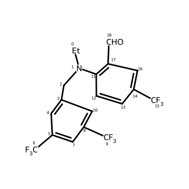 CCN(Cc1cc(C(F)(F)F)cc(C(F)(F)F)c1)c1ccc(C(F)(F)F)cc1C=O